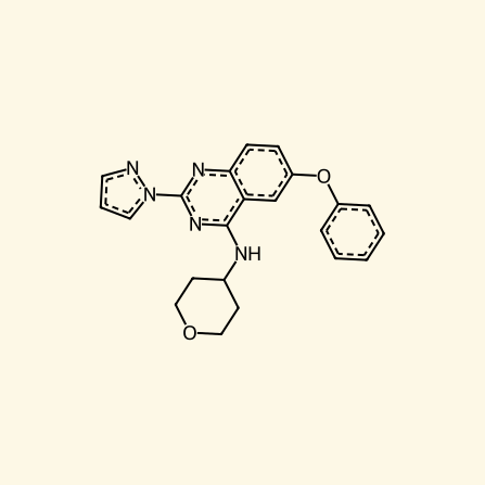 c1ccc(Oc2ccc3nc(-n4cccn4)nc(NC4CCOCC4)c3c2)cc1